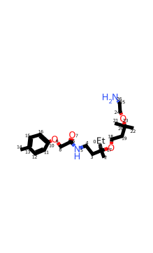 CCC(C)(CCNC(=O)COc1ccc(C)cc1)OCCC(C)(C)OCCN